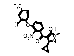 Cn1nc(C2CC2)c(C(=O)c2cccc(Oc3ccc(C(F)(F)F)cc3Cl)c2[N+](=O)[O-])c1O